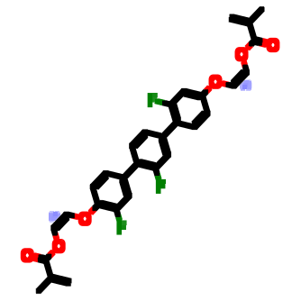 C=C(C)C(=O)O/C=C\Oc1ccc(-c2ccc(-c3ccc(O/C=C\OC(=O)C(=C)C)c(F)c3)c(F)c2)c(F)c1